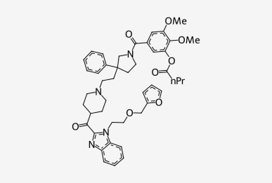 CCCC(=O)Oc1cc(C(=O)N2CCC(CCN3CCC(C(=O)c4nc5ccccc5n4CCOCc4ccco4)CC3)(c3ccccc3)C2)cc(OC)c1OC